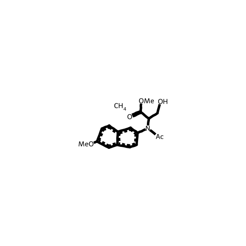 C.COC(=O)C(CO)N(C(C)=O)c1ccc2cc(OC)ccc2c1